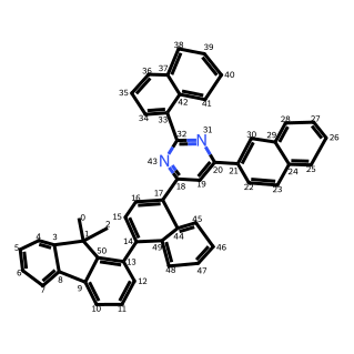 CC1(C)c2ccccc2-c2cccc(-c3ccc(-c4cc(-c5ccc6ccccc6c5)nc(-c5cccc6ccccc56)n4)c4ccccc34)c21